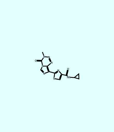 Cn1nnc2c(-c3nc(C(=O)NC4CC4)cs3)ncn2c1=O